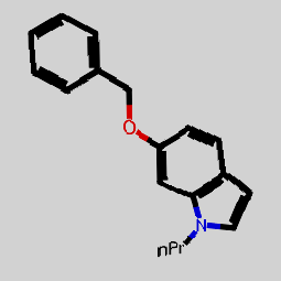 CCCn1ccc2ccc(OCc3ccccc3)cc21